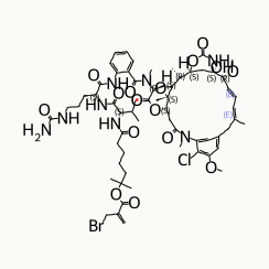 C=C(CBr)C(=O)OC(C)(C)CCCCC(=O)N[C@H](C(=O)N[C@@H](CCCNC(N)=O)C(=O)Nc1ccccc1C(=O)N(C)[C@@H](C)C(=O)O[C@H]1CC(=O)N(C)c2cc(cc(OC)c2Cl)C/C(C)=C/C=C/[C@@H](OC)[C@@]2(O)C[C@H](OC(=O)N2)[C@@H](C)[C@@H]2O[C@@]12C)C(C)C